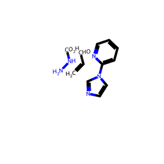 C=CC=O.NNC(=O)O.c1ccc(-n2ccnc2)nc1